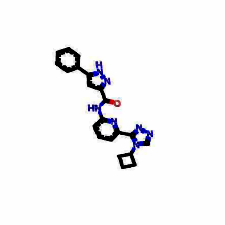 O=C(Nc1cccc(-c2nncn2C2CCC2)n1)c1cc(-c2ccccc2)[nH]n1